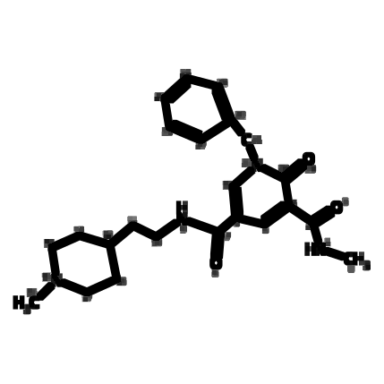 CNC(=O)c1cc(C(=O)NCCC2CCN(C)CC2)cn(Cc2ccccc2)c1=O